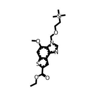 CCOC(=O)c1cc2c(cc(OC)c3c2ncn3COCC[Si](C)(C)C)s1